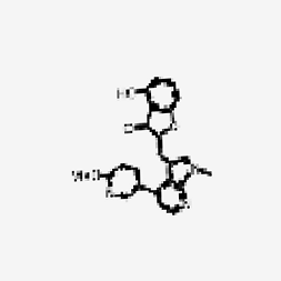 COc1ccc(-c2ccnc3c2c(C=C2Oc4cccc(O)c4C2=O)cn3C)cn1